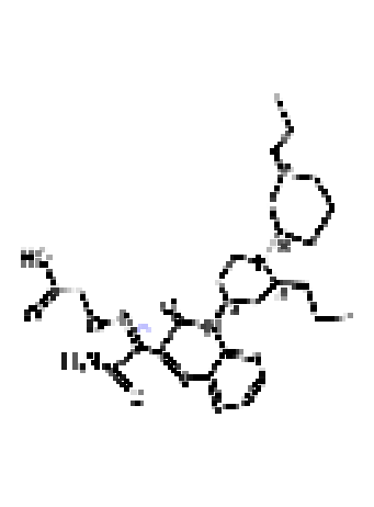 CCC[C@H]1CCC[C@H](N2CC[C@H](n3c(=O)c(/C(=N/OCC(=O)O)C(N)=O)nc4ccccc43)C[C@@H]2CCC)C1